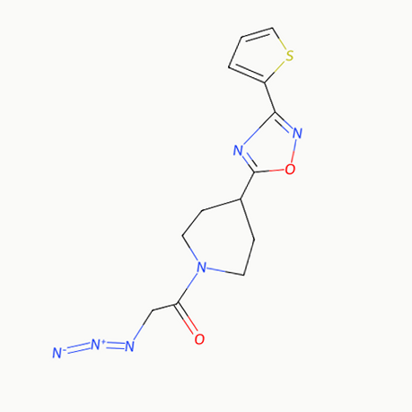 [N-]=[N+]=NCC(=O)N1CCC(c2nc(-c3cccs3)no2)CC1